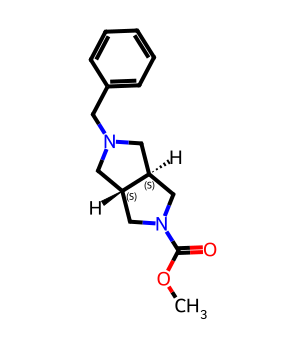 COC(=O)N1C[C@@H]2CN(Cc3ccccc3)C[C@H]2C1